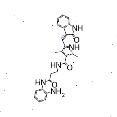 Cc1[nH]c(/C=C2\C(=O)Nc3ccccc32)c(C)c1C(=O)NCCC(=O)Nc1ccccc1N